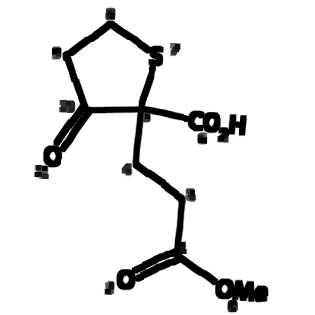 COC(=O)CCC1(C(=O)O)SCCC1=O